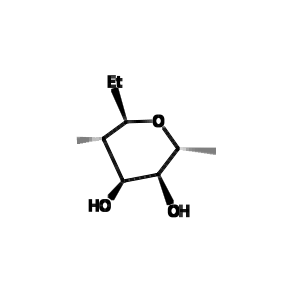 CC[C@H]1O[C@H](C)[C@@H](O)[C@@H](O)[C@@H]1C